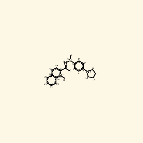 C/C(=N\N(C)c1ccc(N2CCCC2)cc1)c1ccc2ccccc2[n+]1C